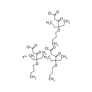 CCCCOC(CC)(CC)C(=O)CC(=O)[O-].CCCCOC(CC)(CC)C(=O)CC(=O)[O-].CCCCOC(CC)(CC)C(=O)CC(=O)[O-].[Y+3]